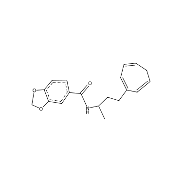 CC(CCC1=CC=CCC=C1)NC(=O)c1ccc2c(c1)OCO2